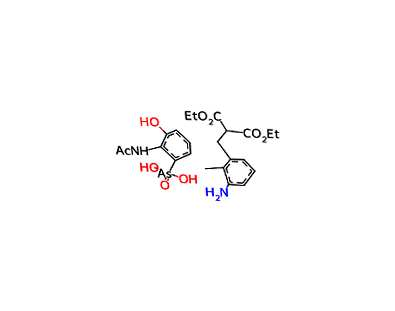 CC(=O)Nc1c(O)cccc1[As](=O)(O)O.CCOC(=O)C(Cc1cccc(N)c1C)C(=O)OCC